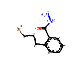 NNC(=O)c1ccccc1CCCBr